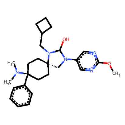 COc1ncc(N2C[C@]3(CC[C@](c4ccccc4)(N(C)C)CC3)N(CC3CCC3)C2O)cn1